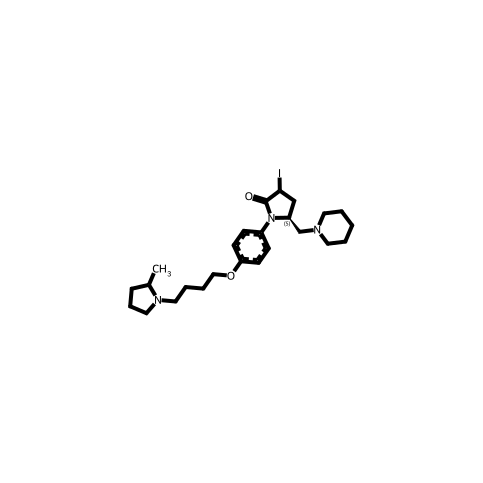 CC1CCCN1CCCCOc1ccc(N2C(=O)C(I)C[C@H]2CN2CCCCC2)cc1